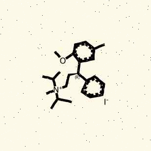 COc1ccc(C)cc1[C@H](CC[N+](C)(C(C)C)C(C)C)c1ccccc1.[I-]